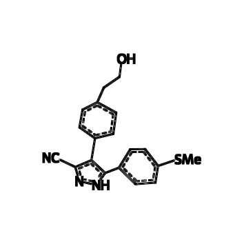 CSc1ccc(-c2[nH]nc(C#N)c2-c2ccc(CCO)cc2)cc1